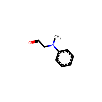 CN(CC=O)c1cc[c]cc1